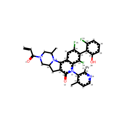 C=CC(=O)N1CC(C)N2c3c(c(=O)n(-c4c(C)ccnc4C(C)C)c4c(F)c(-c5c(O)cccc5F)c(F)cc34)CC2C1